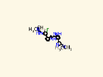 CN(C)CCNc1cc(F)cc(-c2cccc3[nH]c(-c4n[nH]c5ccc(-c6cncc(CN(C)C)c6)cc45)cc23)c1